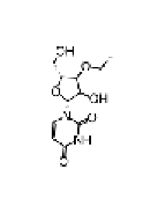 O=c1ccn([C@@H]2O[C@H](CO)[C@@H](OCF)[C@H]2O)c(=O)[nH]1